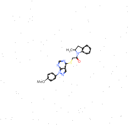 COc1ccc(-n2ncc3c(SCC(=O)N4c5ccccc5CC4C)ncnc32)cc1